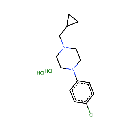 Cl.Cl.Clc1ccc(N2CCN(CC3CC3)CC2)cc1